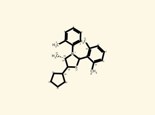 Cc1ccccc1N1C(c2c(C)cccc2C)SC(C2CCCC2)[C@@H]1C